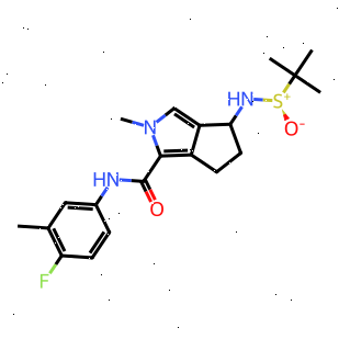 Cc1cc(NC(=O)c2c3c(cn2C)C(N[S@+]([O-])C(C)(C)C)CC3)ccc1F